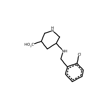 O=C(O)C1CNCC(NCc2ccccc2Cl)C1